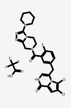 O=C(O)C(F)(F)F.O=C(c1cc(Cc2c[nH]c(=O)c3cc(Cl)c(Cl)n23)ccc1F)N1CCn2c(nnc2N2CCCCC2)C1